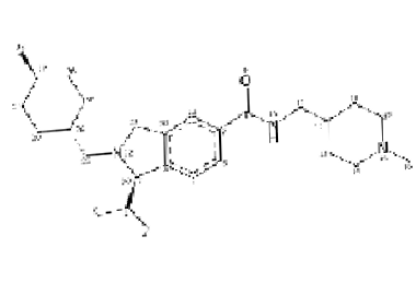 CC(C)[C@@H]1c2ccc(C(=O)NCC3CCN(C)CC3)cc2CN1C[C@H]1CC[C@H](C)CC1